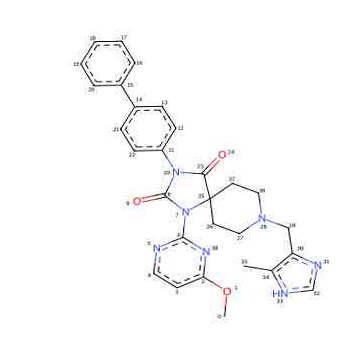 COc1ccnc(N2C(=O)N(c3ccc(-c4ccccc4)cc3)C(=O)C23CCN(Cc2nc[nH]c2C)CC3)n1